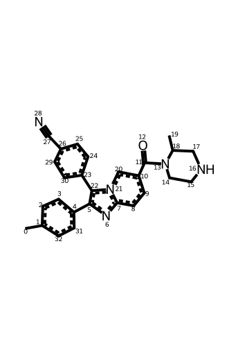 Cc1ccc(-c2nc3ccc(C(=O)N4CCNCC4C)cn3c2-c2ccc(C#N)cc2)cc1